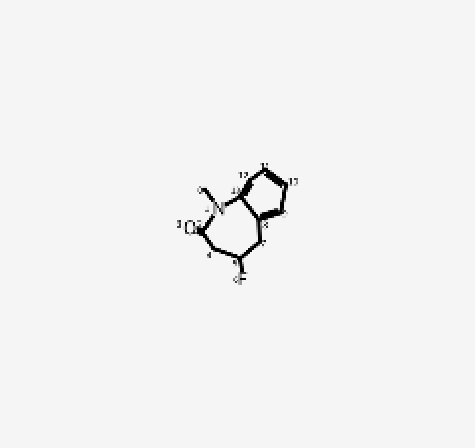 CN1C(=O)CC(F)Cc2ccccc21